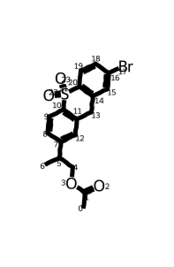 CC(=O)OCC(C)c1ccc2c(c1)Cc1cc(Br)ccc1S2(=O)=O